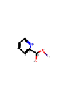 O=C(OI)c1ccccn1